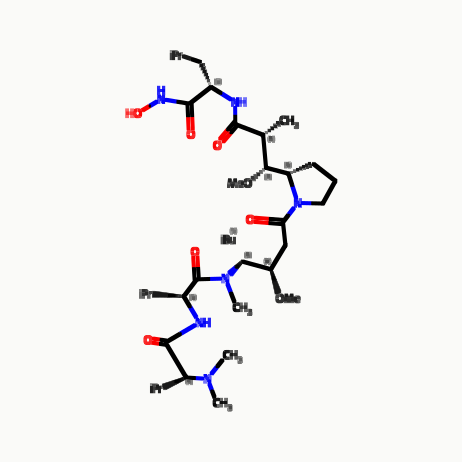 CC[C@H](C)[C@@H]([C@@H](CC(=O)N1CCC[C@H]1[C@H](OC)[C@@H](C)C(=O)N[C@@H](CC(C)C)C(=O)NO)OC)N(C)C(=O)[C@@H](NC(=O)[C@H](C(C)C)N(C)C)C(C)C